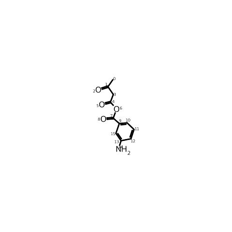 CC(=O)CC(=O)OC(=O)c1cccc(N)c1